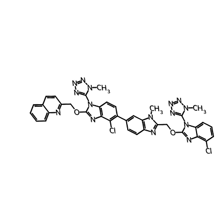 Cn1nnnc1-n1c(OCc2nc3ccc(-c4ccc5c(nc(OCc6ccc7ccccc7n6)n5-c5nnnn5C)c4Cl)cc3n2C)nc2c(Cl)cccc21